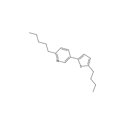 CCCCCc1ccc(-c2ccc(CCCC)s2)cn1